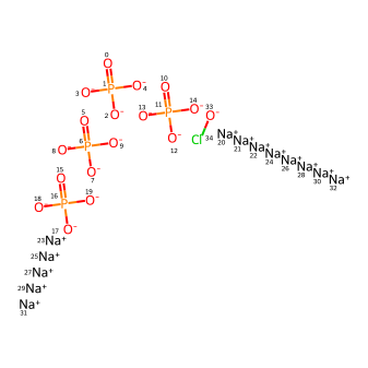 O=P([O-])([O-])[O-].O=P([O-])([O-])[O-].O=P([O-])([O-])[O-].O=P([O-])([O-])[O-].[Na+].[Na+].[Na+].[Na+].[Na+].[Na+].[Na+].[Na+].[Na+].[Na+].[Na+].[Na+].[Na+].[O-]Cl